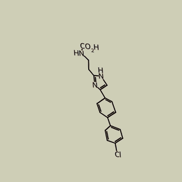 O=C(O)NCCc1nc(-c2ccc(-c3ccc(Cl)cc3)cc2)c[nH]1